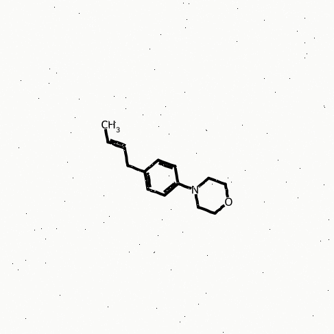 CC=CCc1ccc(N2CCOCC2)cc1